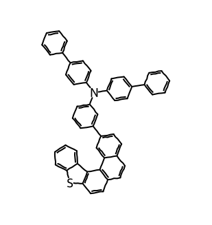 c1ccc(-c2ccc(N(c3ccc(-c4ccccc4)cc3)c3cccc(-c4ccc5ccc6ccc7sc8ccccc8c7c6c5c4)c3)cc2)cc1